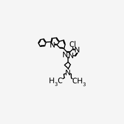 CCCN(CCC)C1CC(c2nc(-c3ccc4ccc(-c5ccccc5)nc4c3)c3c(Cl)nccn23)C1